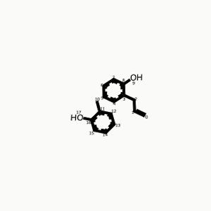 C=CCc1ccccc1O.Cc1ccccc1O